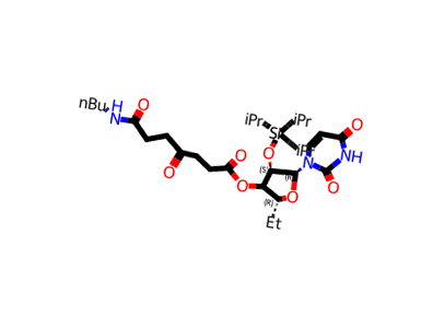 CCCCNC(=O)CCC(=O)CCC(=O)OC1[C@@H](CC)O[C@@H](n2ccc(=O)[nH]c2=O)[C@H]1O[Si](C(C)C)(C(C)C)C(C)C